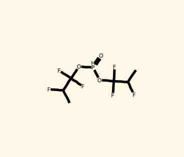 CC(F)C(F)(F)O[PH](=O)OC(F)(F)C(C)F